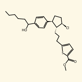 CCCCCC(O)c1ccc([C@H]2CC[C@@H](Cl)[C@@H]2CCCc2ccc(C(=O)OC)s2)cc1